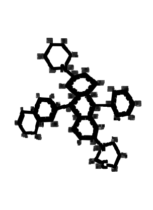 C1=Cc2ccc(-c3c4ccc(N5CCCCC5)cc4c(-c4ccccc4)c4ccc(N5CCCCC5)cc34)cc2CC1